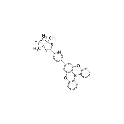 CC1(C)N=C(c2ccc(-c3cc4c5c(c3)Oc3ccccc3B5c3ccccc3O4)cn2)SC1(C)C